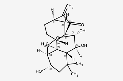 C=C1C(=O)[C@]23[C@@H](O)[C@H]1CC[C@H]2[C@]1(C)[C@@H]2OO[C@]3(O)[C@@H](O)[C@@H]1C(C)(C)C[C@@H]2O